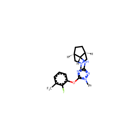 CC(C)n1nc(N[C@@H]2[C@@H]3CC[C@H]2CN(C#N)C3)nc1Oc1cccc(C(F)(F)F)c1F